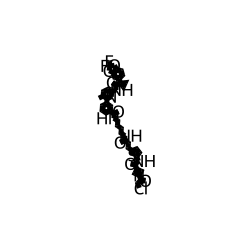 Cc1ccc(NC(=O)C2(c3ccc4c(c3)OC(F)(F)O4)CC2)nc1-c1cccc(C(=O)NCCCCNC(=O)CCc2ccc(NC(=O)C3CN(C(=O)CCl)C3)s2)c1